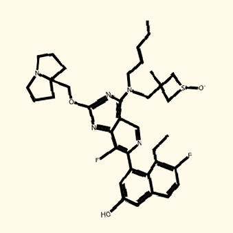 CCCCCN(CC1(C)C[S+]([O-])C1)c1nc(OCC23CCCN2CCC3)nc2c(F)c(-c3cc(O)cc4ccc(F)c(CC)c34)ncc12